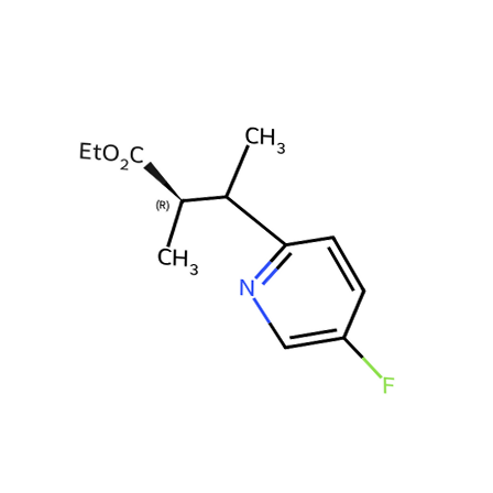 CCOC(=O)[C@H](C)C(C)c1ccc(F)cn1